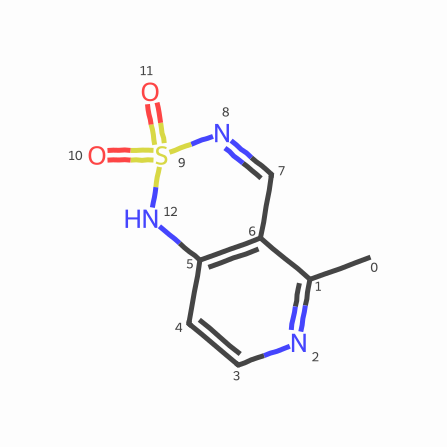 Cc1nccc2c1C=NS(=O)(=O)N2